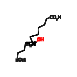 CCCCCCCCCCCCCCCCCC(=O)O.[OH][AlH2]